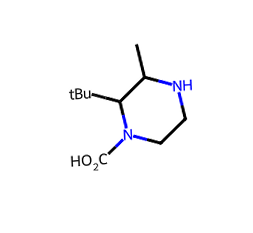 CC1NCCN(C(=O)O)C1C(C)(C)C